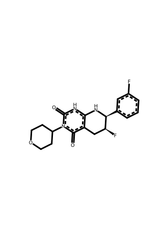 O=c1[nH]c2c(c(=O)n1C1CCOCC1)C[C@H](F)[C@H](c1cccc(F)c1)N2